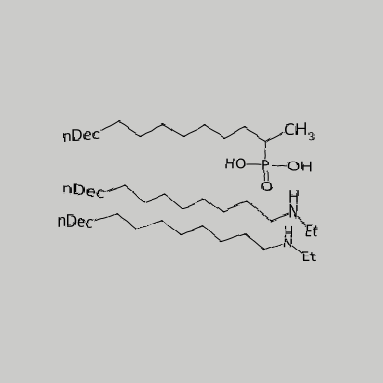 CCCCCCCCCCCCCCCCCC(C)P(=O)(O)O.CCCCCCCCCCCCCCCCCCNCC.CCCCCCCCCCCCCCCCCCNCC